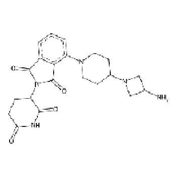 NC1CN(C2CCN(c3cccc4c3C(=O)N(C3CCC(=O)NC3=O)C4=O)CC2)C1